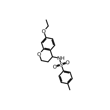 CCOc1ccc2c(c1)OCCC2NS(=O)(=O)c1ccc(C)cc1